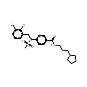 CS(=O)(=O)N(Cc1cccc(Cl)c1Cl)c1ccc(C(=O)NCCCN2CCCC2)cc1